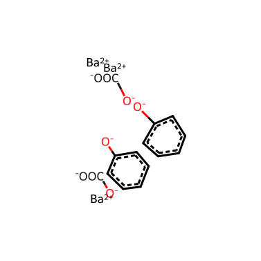 O=C([O-])[O-].O=C([O-])[O-].[Ba+2].[Ba+2].[Ba+2].[O-]c1ccccc1.[O-]c1ccccc1